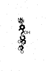 Cc1cc(-n2cnnn2)ccc1[C@H](O)CN1CCC2(CC1)CCN(C1=CC(=O)OC1)C2=O